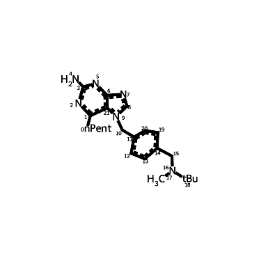 CCCCCc1nc(N)nc2ncn(Cc3ccc(CN(C)C(C)(C)C)cc3)c12